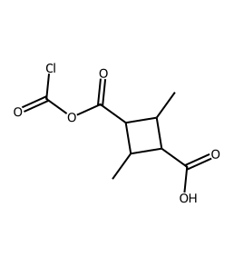 CC1C(C(=O)O)C(C)C1C(=O)OC(=O)Cl